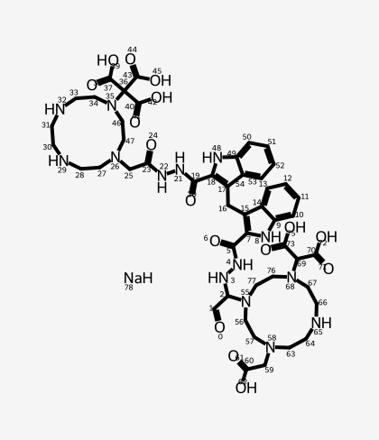 O=CC(NNC(=O)c1[nH]c2ccccc2c1Cc1c(C(=O)NNC(=O)CN2CCNCCNCCN(C(C(=O)O)(C(=O)O)C(=O)O)CC2)[nH]c2ccccc12)N1CCN(CC(=O)O)CCNCCN(C(C(=O)O)C(=O)O)CC1.[NaH]